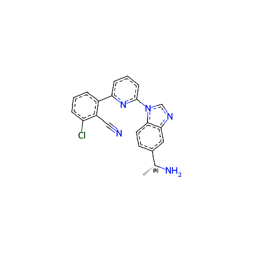 C[C@@H](N)c1ccc2c(c1)ncn2-c1cccc(-c2cccc(Cl)c2C#N)n1